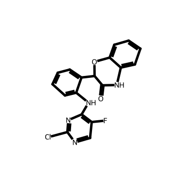 O=C1Nc2ccccc2OC1c1ccccc1Nc1nc(Cl)ncc1F